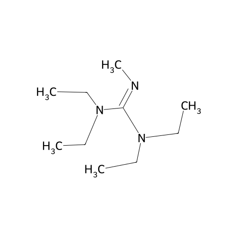 CCN(CC)C(=NC)N(CC)CC